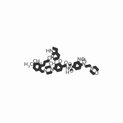 C=C(C)CCC1=C(CN2CCN(c3ccc(C(=O)NS(=O)(=O)c4ccc(NCCN5CCOCC5)c([N+](=O)[O-])c4)c(Oc4cnc5[nH]ccc5c4)c3)CC2)CCC(C)(C)C1